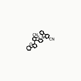 N#Cc1ccc2c3ccccc3n(-c3cccc4c3sc3c(C#N)ccc(-c5cccc6c7c(oc56)CCC=C7)c34)c2c1